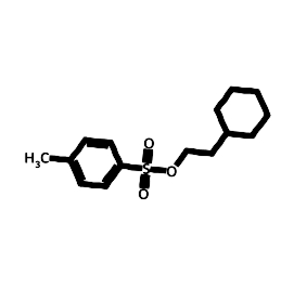 Cc1ccc(S(=O)(=O)OCCC2CCCCC2)cc1